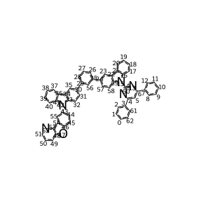 c1ccc(-c2cc(-c3ccccc3)nc(-n3c4ccccc4c4cc(-c5cccc(-c6ccc7c(c6)c6ccccc6n7-c6ccc7oc8cccnc8c7c6)c5)ccc43)n2)cc1